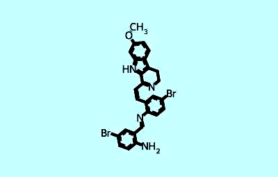 COc1ccc2c3c([nH]c2c1)C(/C=C\c1cc(Br)ccc1/N=C/c1cc(Br)ccc1N)=NCC3